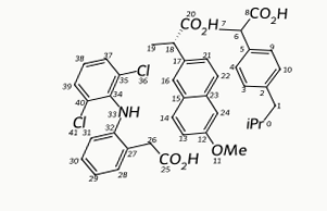 CC(C)Cc1ccc(C(C)C(=O)O)cc1.COc1ccc2cc([C@H](C)C(=O)O)ccc2c1.O=C(O)Cc1ccccc1Nc1c(Cl)cccc1Cl